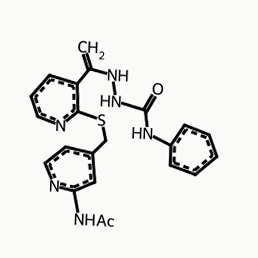 C=C(NNC(=O)Nc1ccccc1)c1cccnc1SCc1ccnc(NC(C)=O)c1